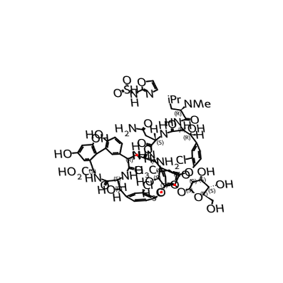 CN[C@H](CC(C)C)C(=O)N[C@H]1C(=O)N[C@@H](CC(N)=O)C(=O)N[C@H]2C(=O)N[C@H]3C(=O)N[C@H](C(=O)N[C@H](C(=O)O)c4cc(O)cc(O)c4-c4cc3ccc4O)[C@H](O)c3ccc(c(Cl)c3)Oc3cc2cc(c3O[C@@H]2O[C@H](CO)[C@@H](O)[C@H](O)[C@H]2O[C@H]2C[C@](C)(N)[C@H](O)[C@H](C)O2)Oc2ccc(cc2Cl)[C@H]1O.O=[SH](=O)Nc1ncco1